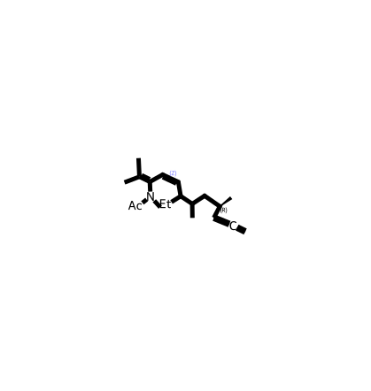 C=C=C[C@H](C)CC(C)C(/C=C\C(=C(C)C)N(C)C(C)=O)CC